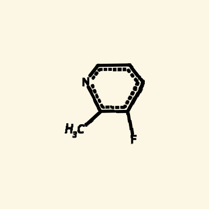 Cc1ncccc1F